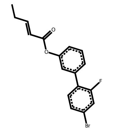 CCC=CC(=O)Oc1cccc(-c2ccc(Br)cc2F)c1